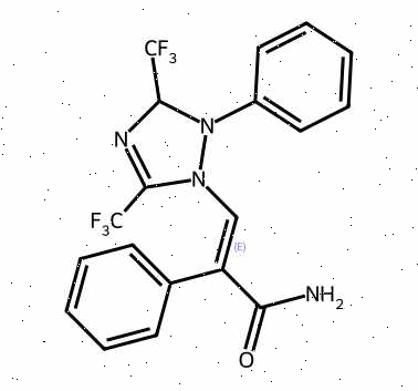 NC(=O)/C(=C/N1C(C(F)(F)F)=NC(C(F)(F)F)N1c1ccccc1)c1ccccc1